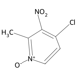 Cc1c([N+](=O)[O-])c(Cl)cc[n+]1[O-]